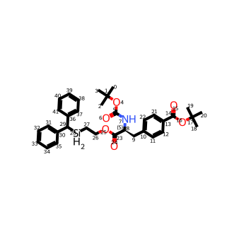 CC(C)(C)OC(=O)N[C@@H](Cc1ccc(C(=O)OC(C)(C)C)cc1)C(=O)OCC[SiH2]C(c1ccccc1)c1ccccc1